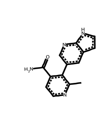 Cc1nccc(C(N)=O)c1-c1cnc2[nH]ccc2c1